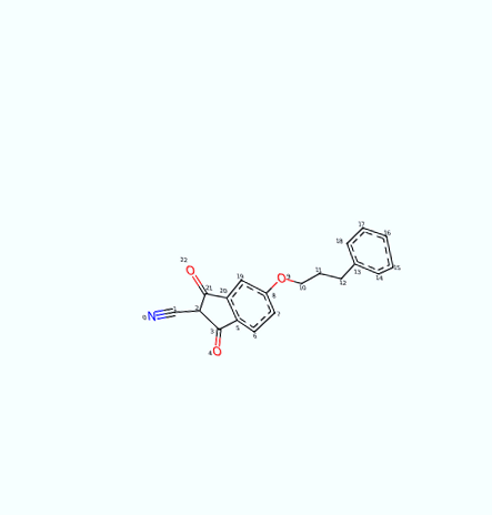 N#CC1C(=O)c2ccc(OCCCc3ccccc3)cc2C1=O